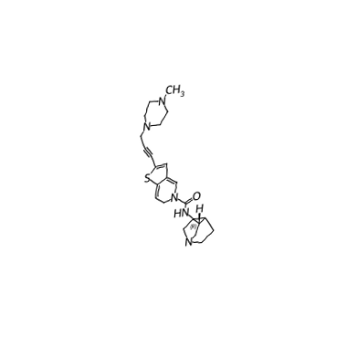 CN1CCN(CC#Cc2cc3c(s2)=CCN(C(=O)N[C@H]2CN4CCC2CC4)C=3)CC1